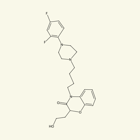 O=C1C(CCO)Oc2ccccc2N1CCCCN1CCN(c2ccc(F)cc2F)CC1